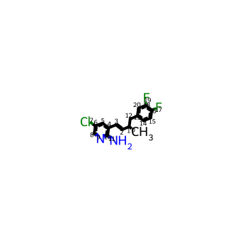 CC(/C=C/c1cc(Cl)cnc1N)Cc1ccc(F)c(F)c1